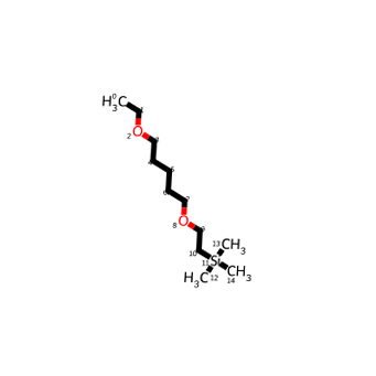 CCOCCC[CH]COCC[Si](C)(C)C